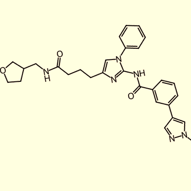 Cn1cc(-c2cccc(C(=O)Nc3nc(CCCC(=O)NCC4CCOC4)cn3-c3ccccc3)c2)cn1